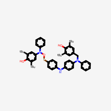 CC(C)(C)c1cc(CN(c2ccccc2)c2ccc(Nc3ccc(SON(c4ccccc4)c4cc(C(C)(C)C)c(O)c(C(C)(C)C)c4)cc3)cc2)cc(C(C)(C)C)c1O